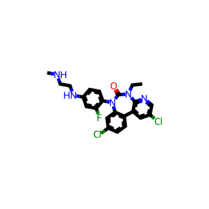 CCN1C(=O)N(c2ccc(NCCNC)cc2F)c2cc(Cl)ccc2-c2cc(Cl)cnc21